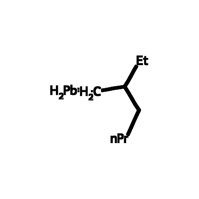 [CH2]C(CC)CCCC.[PbH2]